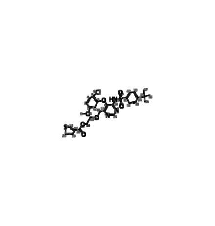 COc1ccc(Cl)c(Oc2c(COCCOC(=O)c3ccsc3)ncnc2NS(=O)(=O)c2ccc(C(C)(C)C)cc2)c1